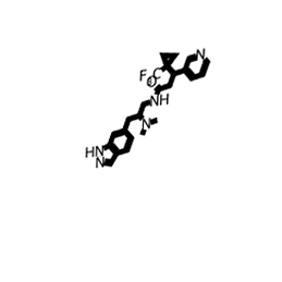 CN(C)C(CNC(=O)CC(c1cccnc1)C1(C(F)(F)F)CC1)Cc1ccc2cn[nH]c2c1